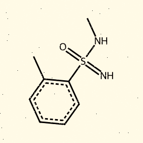 CNS(=N)(=O)c1ccccc1C